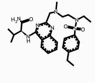 CCc1ccc(S(=O)(=O)N(CC)CCN(C)Cc2nc(N[C@H](C(N)=O)C(C)C)c3ccccc3n2)cc1